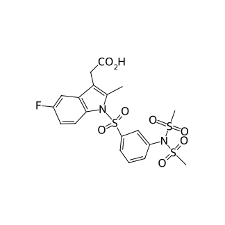 Cc1c(CC(=O)O)c2cc(F)ccc2n1S(=O)(=O)c1cccc(N(S(C)(=O)=O)S(C)(=O)=O)c1